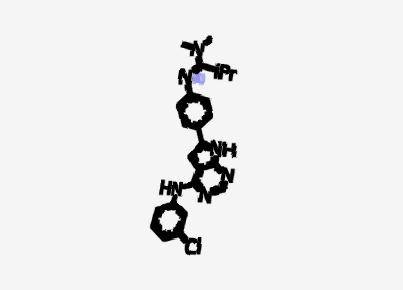 CC(C)/C(=N\c1ccc(-c2cc3c(Nc4cccc(Cl)c4)ncnc3[nH]2)cc1)N(C)C